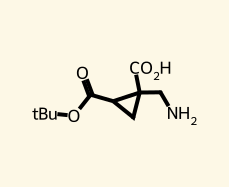 CC(C)(C)OC(=O)C1CC1(CN)C(=O)O